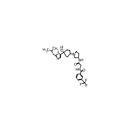 CC(C)Cc1ncc(C2(O)CCC(N3CC[C@@H](NC(=O)CNC(=O)c4cccc(C(F)(F)F)c4)C3)CC2)s1